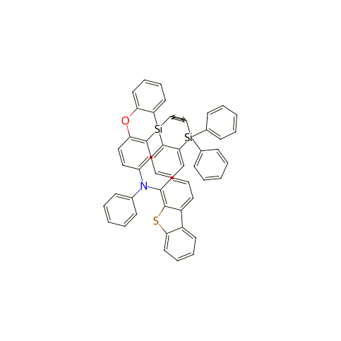 c1ccc(N(c2ccc3c(c2)[Si]2(c4ccccc4O3)c3ccccc3[Si](c3ccccc3)(c3ccccc3)c3ccccc32)c2cccc3c2sc2ccccc23)cc1